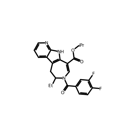 CCC1Cc2c([nH]c3ncccc23)C(C(=O)OC(C)C)=CN1C(=O)c1ccc(F)c(F)c1